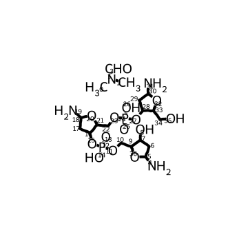 CN(C)C=O.NC1CC(O)C(COP(=O)(O)OC2CC(N)OC2COP(=O)(O)OC2CC(N)OC2CO)O1